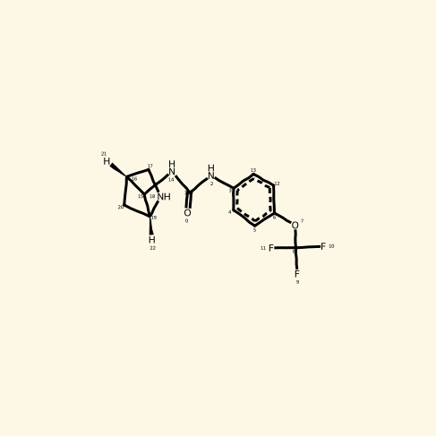 O=C(Nc1ccc(OC(F)(F)F)cc1)NC1[C@H]2CN[C@@H]1C2